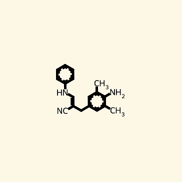 Cc1cc(CC(C#N)=CNc2ccccc2)cc(C)c1N